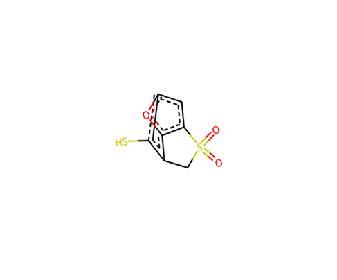 O=S1(=O)Cc2c(S)c3cc1c2o3